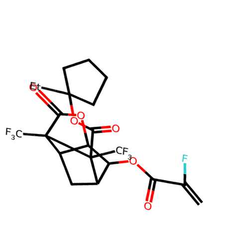 C=C(F)C(=O)OC1C2OC(=O)C3(C(F)(F)F)C2CC1C3(C(=O)OC1(CC)CCCC1)C(F)(F)F